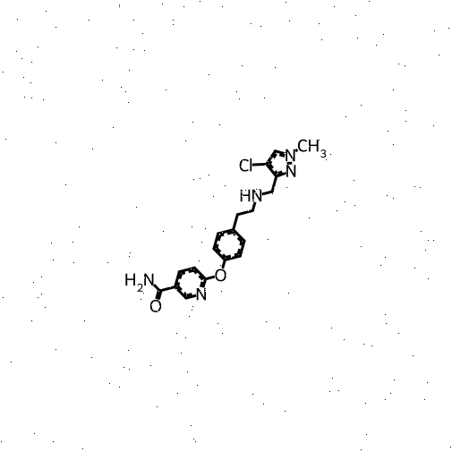 Cn1cc(Cl)c(CNCCc2ccc(Oc3ccc(C(N)=O)cn3)cc2)n1